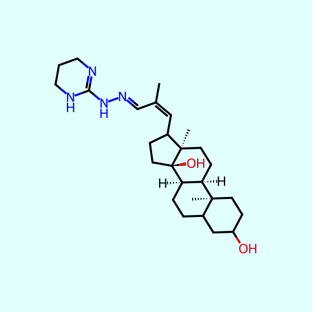 CC(C=NNC1=NCCCN1)=CC1CC[C@@]2(O)[C@@H]3CCC4CC(O)CC[C@]4(C)[C@@H]3CC[C@]12C